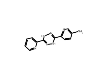 Nc1ccc(C2=NNC(c3ccccn3)=NN2)nc1